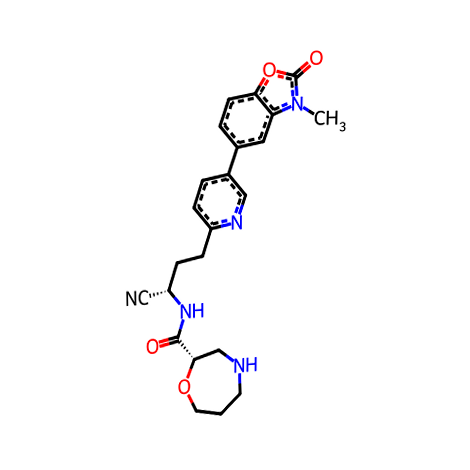 Cn1c(=O)oc2ccc(-c3ccc(CC[C@@H](C#N)NC(=O)[C@@H]4CNCCCO4)nc3)cc21